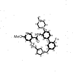 COc1cc(C(F)(F)F)c(C(=O)Nc2cc(-c3cc(CN4CCC(C(C)C)C4)ccc3F)ccc2N2CCN(C)CC2)cn1